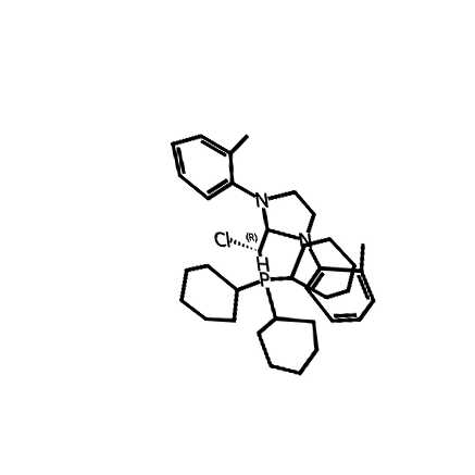 Cc1ccccc1N1CCN(c2ccccc2C)C1[C@@H](Cl)[PH](C1CCCCC1)(C1CCCCC1)C1CCCCC1